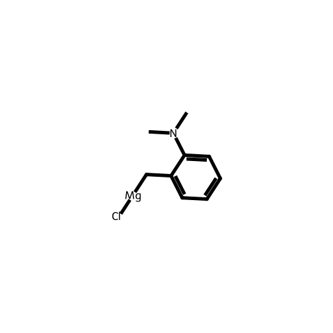 CN(C)c1ccccc1[CH2][Mg][Cl]